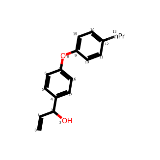 C=CC(O)c1ccc(Oc2ccc(CCC)cc2)cc1